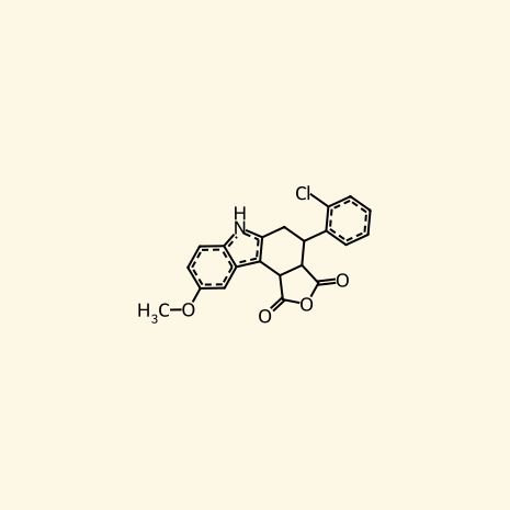 COc1ccc2[nH]c3c(c2c1)C1C(=O)OC(=O)C1C(c1ccccc1Cl)C3